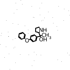 CC(O)(c1ccc(Oc2ccccc2)cc1)C1CCCN1